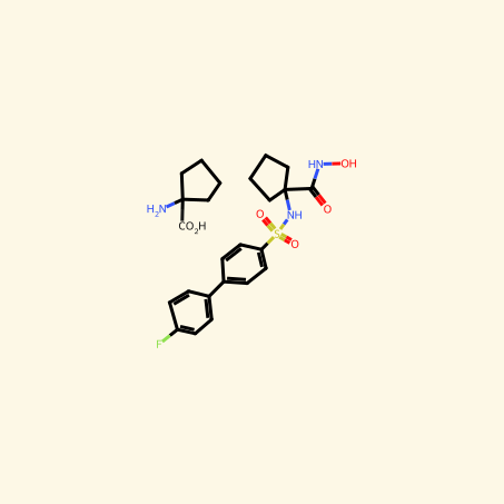 NC1(C(=O)O)CCCC1.O=C(NO)C1(NS(=O)(=O)c2ccc(-c3ccc(F)cc3)cc2)CCCC1